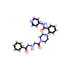 O=C(CNCC(=O)N1CCN(c2ccccc2C(=O)Nc2ccncc2)CC1)c1ccccc1